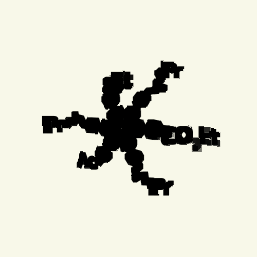 C=C(Cc1ccc(-c2cc3c4cc(-c5ccc(CCC(C)CCCC(C)C)cc5)cc5c6cc(-c7ccc(CC(C)=O)cc7)cc7c8cc(-c9ccc(CCC(C)CCCC(C)C)cc9)cc9c%10cc(-c%11ccc(CC(=O)OCC)cc%11)cc%11c%12cc(-c%13ccc(CCC(C)CCCC(C)C)cc%13)cc%13c(c2)c3c2c(c45)c(c67)c(c89)c(c%11%10)c2c%13%12)cc1)OCC